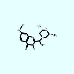 CCCC(c1nc2cc(NCC)ccc2c(=O)n1CC)N1C[C@@H](C)N[C@@H](C)C1